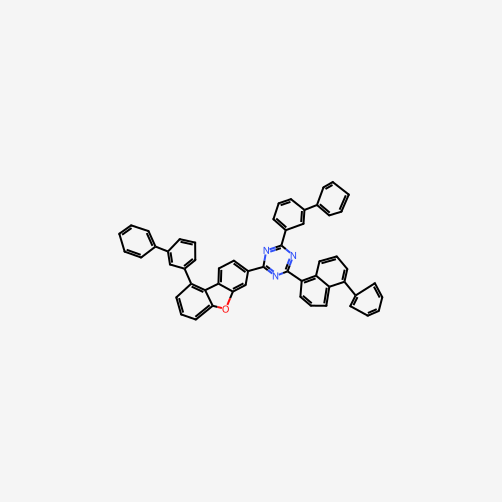 c1ccc(-c2cccc(-c3nc(-c4ccc5c(c4)oc4cccc(-c6cccc(-c7ccccc7)c6)c45)nc(-c4cccc5c(-c6ccccc6)cccc45)n3)c2)cc1